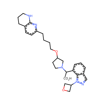 O=C(O)C(c1cccc2cnn(C3COC3)c12)N1CCC(OCCCCc2ccc3c(n2)NCCC3)C1